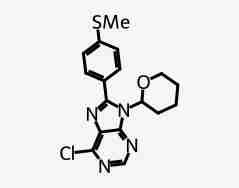 CSc1ccc(-c2nc3c(Cl)ncnc3n2C2CCCCO2)cc1